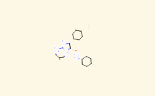 CN(C(=O)c1c(-c2ccc(Cl)c(Cl)c2)nc2ncccn12)c1ccc(Cl)cc1